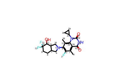 Cc1c(F)c(N2CC3CCC(F)(F)C(O)C3C2)c(C)c2c1c(=O)[nH]c(=O)n2C1CC1